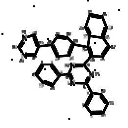 c1ccc(-c2nc(-c3ccccc3)nc(-c3ccc4ccccc4c3-c3ccc(-c4cncnc4)cc3)n2)cc1